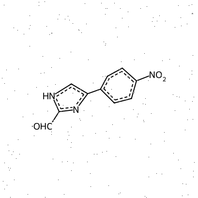 O=[C]c1nc(-c2ccc([N+](=O)[O-])cc2)c[nH]1